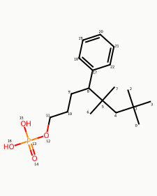 CC(C)(C)CC(C)(C)C(CCCOP(=O)(O)O)c1ccccc1